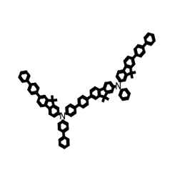 CC1(C)c2cc(-c3ccc(-c4ccccc4)cc3)ccc2-c2ccc(N(c3ccc(-c4ccccc4)cc3)c3ccc(-c4ccc(-c5ccc6c(c5)C(C)(C)c5cc(N(c7ccccc7)c7ccc8c(c7)C(C)(C)c7cc(-c9ccc(-c%10ccccc%10)cc9)ccc7-8)ccc5-6)cc4)cc3)cc21